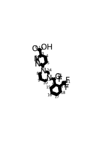 O=C(O)c1ccc(N2C=CCN(C(=O)c3ccccc3C(F)(F)F)C2)nn1